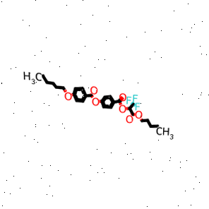 CCCCCCOc1ccc(C(=O)Oc2ccc(C(=O)OC(C(=O)OCCCCC)C(F)(F)F)cc2)cc1